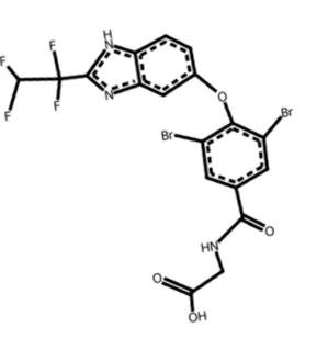 O=C(O)CNC(=O)c1cc(Br)c(Oc2ccc3[nH]c(C(F)(F)C(F)F)nc3c2)c(Br)c1